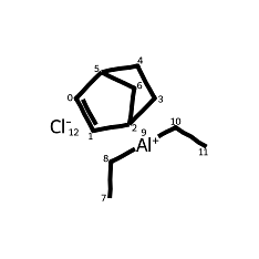 C1=CC2CCC1C2.C[CH2][Al+][CH2]C.[Cl-]